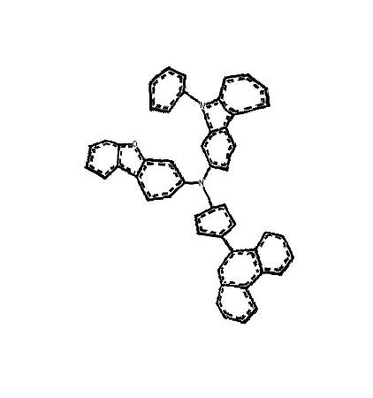 c1ccc(-n2c3ccccc3c3ccc(N(c4ccc(-c5cc6ccccc6c6ccccc56)cc4)c4ccc5c(c4)oc4ccccc45)cc32)cc1